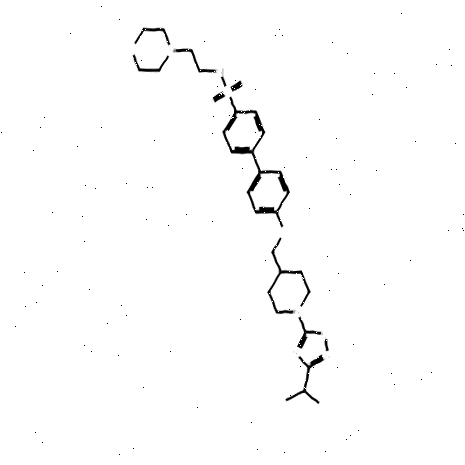 CC(C)c1noc(N2CCC(COc3ccc(-c4ccc(S(=O)(=O)NCCN5CCOCC5)cc4)cc3)CC2)n1